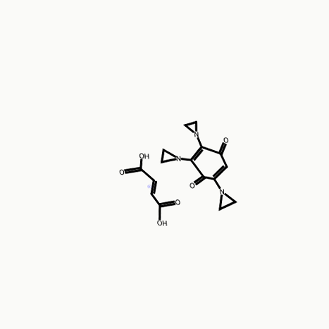 O=C(O)/C=C/C(=O)O.O=C1C=C(N2CC2)C(=O)C(N2CC2)=C1N1CC1